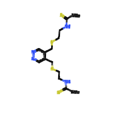 CNC(=S)NCCSCc1cnncc1CSCCNC(=S)NC